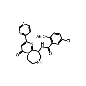 COc1ccc(Cl)cc1C(=O)NC1CNCCn2c1nc(-c1ccncn1)cc2=O